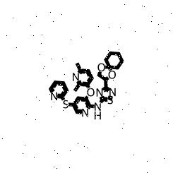 Cc1ccc(Oc2cc(Sc3ccccn3)cnc2Nc2nc(C3COC4(CCCCC4)O3)ns2)c(C)n1